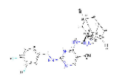 N#Cc1cnc(NCc2ccc(F)c(F)c2)nc1NC[C@]12CC3C[C@H](C1)[C@@H](N)[C@@H](C3)C2